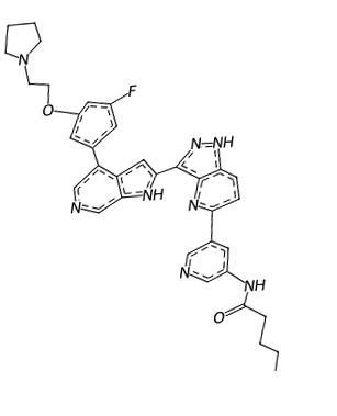 CCCCC(=O)Nc1cncc(-c2ccc3[nH]nc(-c4cc5c(-c6cc(F)cc(OCCN7CCCC7)c6)cncc5[nH]4)c3n2)c1